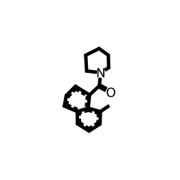 Cc1cccc2cccc(C(=O)N3CCCCC3)c12